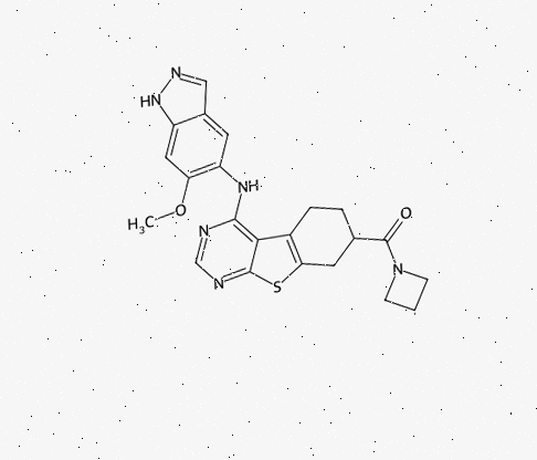 COc1cc2[nH]ncc2cc1Nc1ncnc2sc3c(c12)CCC(C(=O)N1C[CH]C1)C3